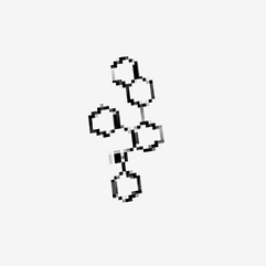 c1ccc(Nc2cccc(-c3ccc4ccccc4c3)c2-c2ccccc2)cc1